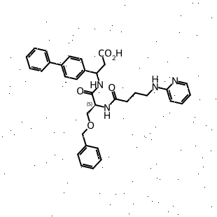 O=C(O)CC(NC(=O)[C@H](COCc1ccccc1)NC(=O)CCCNc1ccccn1)c1ccc(-c2ccccc2)cc1